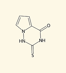 O=c1[nH]c(=S)[nH]n2cccc12